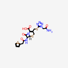 NC(=O)Cn1nnnc1SCC1=C(C(=O)O)N2C(=O)C(NC(=O)Cc3cccs3)[C@H]2SC1